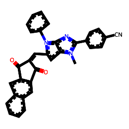 Cn1c(-c2ccc(C#N)cc2)nc2c1cc(C=C1C(=O)c3cc4ccccc4cc3C1=O)n2-c1ccccc1